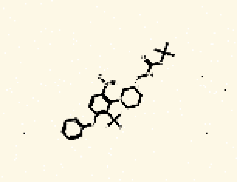 CC(C)(C)OC(=O)NC[C@@H]1CCCN(c2c([N+](=O)[O-])ccc(Sc3ccccc3)c2C(F)(F)F)C1